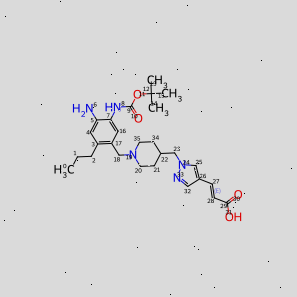 CCCc1cc(N)c(NC(=O)OC(C)(C)C)cc1CN1CCC(Cn2cc(/C=C/C(=O)O)cn2)CC1